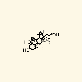 C[C@]12CCC3C(C1[C@@H]1C[C@@H]1[C@@]2(O)CCCO)[C@H]1C[C@H]1[C@]1(O)C[C@@H](O)CC[C@]31C